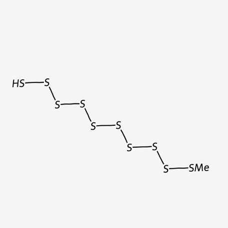 CSSSSSSSSSS